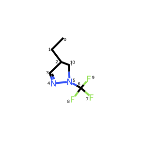 CCC1[C]=NN(C(F)(F)F)[CH]1